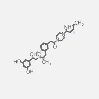 C=C/C=C\C(=N)N1CCN(C(=O)Cc2cccc(C[C@@H](C)NC[C@H](O)c3cc(O)cc(O)c3)c2)CC1